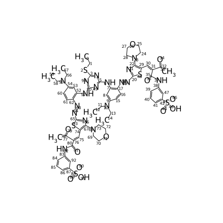 CCSc1nc(Nc2cc(N(CC)CC)ccc2/N=N/c2nc(N3CCOCC3)c(/C=C(/C(C)=O)C(=O)Nc3cccc(S(=O)(=O)O)c3)s2)nc(Nc2cc(N(CC)CC)ccc2/N=N/c2nc(N3CCOCC3)c(/C=C(\C(C)=O)C(=O)Nc3cccc(S(=O)(=O)O)c3)s2)n1